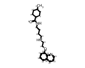 CC1CCC(C(=O)NCCCCNCCOc2cccc3cccnc23)CC1